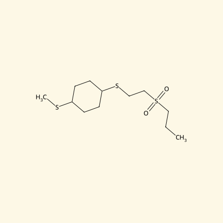 CCCS(=O)(=O)CCSC1CCC(SC)CC1